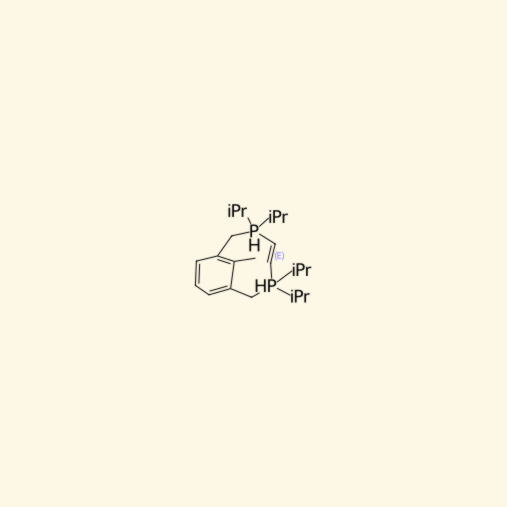 Cc1c2cccc1C[PH](C(C)C)(C(C)C)/C=C/[PH](C(C)C)(C(C)C)C2